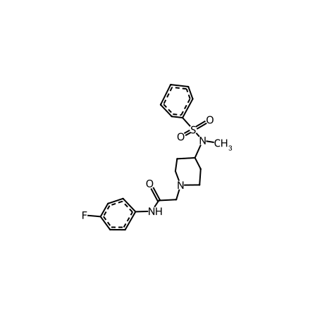 CN(C1CCN(CC(=O)Nc2ccc(F)cc2)CC1)S(=O)(=O)c1ccccc1